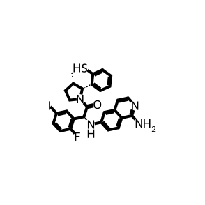 C[C@H]1CCN(C(=O)[C@H](Nc2ccc3c(N)nccc3c2)c2cc(I)ccc2F)[C@H]1c1ccccc1S